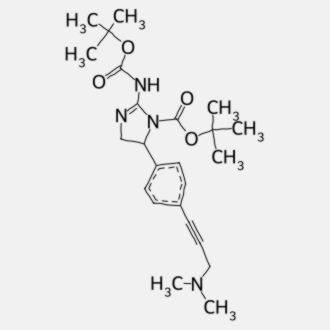 CN(C)CC#Cc1ccc(C2CN=C(NC(=O)OC(C)(C)C)N2C(=O)OC(C)(C)C)cc1